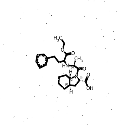 CCOC(=O)C(CCc1ccccc1)N[C@@H](C)C(=O)N1[C@H](C(=O)O)C[C@H]2CCCC[C@@H]21